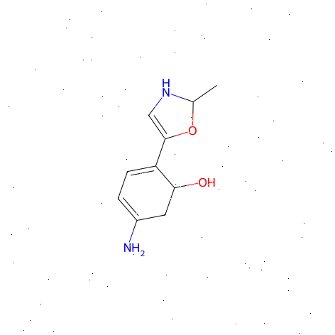 CC1NC=C(C2=CC=C(N)CC2O)O1